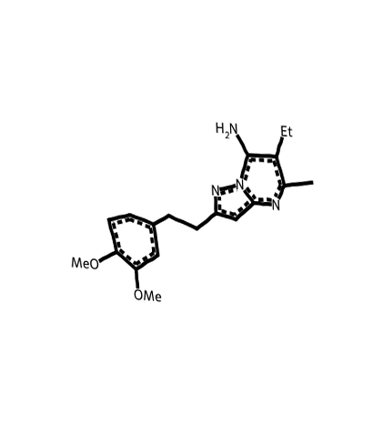 CCc1c(C)nc2cc(CCc3ccc(OC)c(OC)c3)nn2c1N